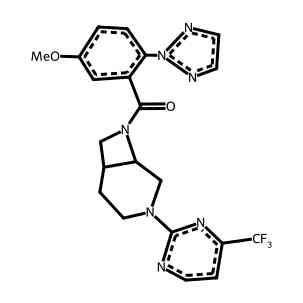 COc1ccc(-n2nccn2)c(C(=O)N2CC3CCN(c4nccc(C(F)(F)F)n4)CC32)c1